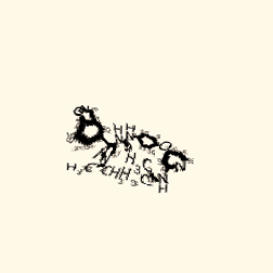 CC(C)Nc1cc(Oc2ccc(NC(=O)Nc3cn(C(C)C)nc3-c3ccc4oncc4c3)cc2)ccn1